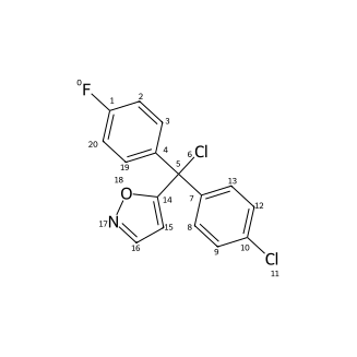 Fc1ccc(C(Cl)(c2ccc(Cl)cc2)c2ccno2)cc1